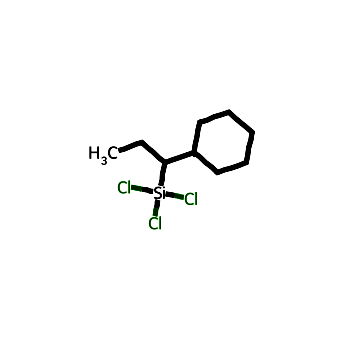 CCC([C]1CCCCC1)[Si](Cl)(Cl)Cl